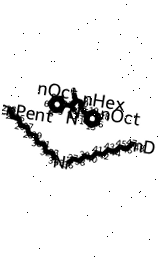 CCCCCCCCC1=C(c2cccc(CCCCC)c2)[N+](=[N-])C(c2cccc(CCCCCCCC)c2)=C1CCCCCC.CCCCCCCCCCCCCCCCCCCCC[CH2][Ni][CH2]CCCCCCCCCCCCCCCCCCCCC